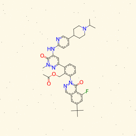 CC(=O)OCc1c(-c2cc(Nc3ccc(C4CCN(C(C)C)CC4)cn3)c(=O)n(C)n2)cccc1-n1ncc2cc(C(C)(C)C)cc(F)c2c1=O